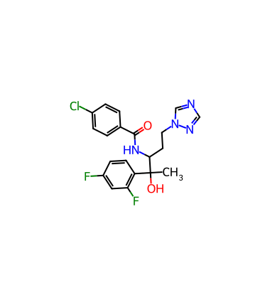 CC(O)(c1ccc(F)cc1F)C(CCn1cncn1)NC(=O)c1ccc(Cl)cc1